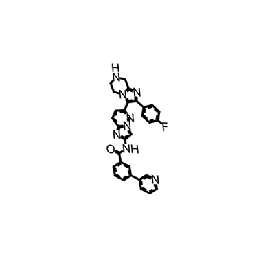 O=C(Nc1cn2nc(-c3c(-c4ccc(F)cc4)nc4n3CCNC4)ccc2n1)c1cccc(-c2cccnc2)c1